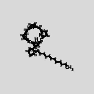 CCCCCCCCCCCCN1C=CC=CC1c1cc2cc3nc(cc4ccc(cc5nc(cc1[nH]2)C=C5)[nH]4)C=C3